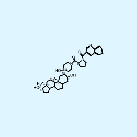 C[C@]12C[C@H]([N+]3(O)CCN(C(=O)[C@@H]4CCCN4C(=O)c4cnc5ccccc5c4)CC3)[C@@H](O)CC1CCC1C2CC[C@@]2(C)C1CC[C@@H]2O